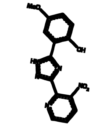 COc1ccc(O)c(-c2nc(-c3ncccc3[N+](=O)[O-])n[nH]2)c1